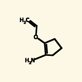 C=COC1=C(N)CCC1